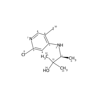 C[C@H](Nc1cc(Cl)ncc1I)C(C)(C)O